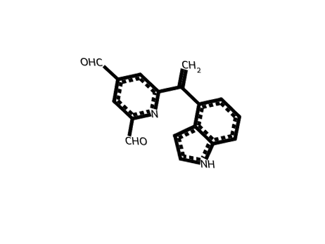 C=C(c1cc(C=O)cc(C=O)n1)c1cccc2[nH]ccc12